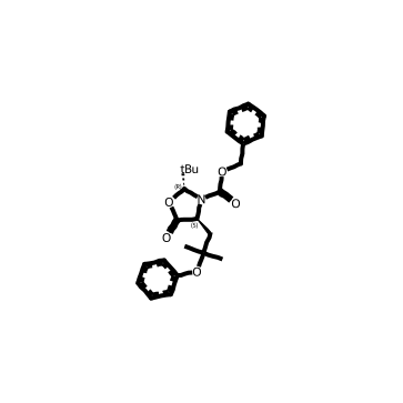 CC(C)(C[C@H]1C(=O)O[C@H](C(C)(C)C)N1C(=O)OCc1ccccc1)Oc1ccccc1